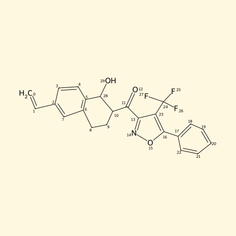 C=Cc1ccc2c(c1)CCC(C(=O)c1noc(-c3ccccc3)c1C(F)(F)F)C2O